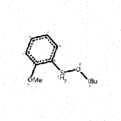 COc1ccccc1[SiH2]OC(C)(C)C